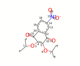 CC(C)OC1=C(OC(C)C)C(=O)c2cc([N+](=O)[O-])ccc2C1=O